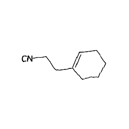 [C-]#[N+]CCC1=CCCCC1